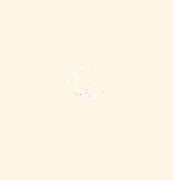 O=C1/C(=C/c2ccc(Cl)cc2)C(NC2CCCCC2)c2ccccc21